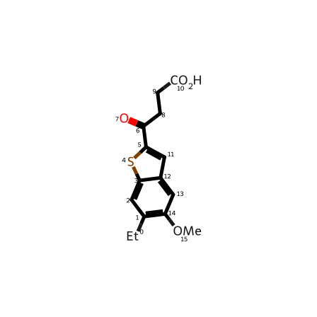 CCc1cc2sc(C(=O)CCC(=O)O)cc2cc1OC